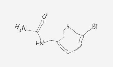 NC(=O)Nc1ccc(Br)s1